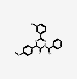 COc1ccc(C(NC(=O)c2cccc(Cl)c2)C(=O)NC(=N)c2ccccc2)cc1